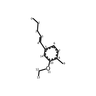 CCC/C=C/c1ccc(C)c(OCC)c1